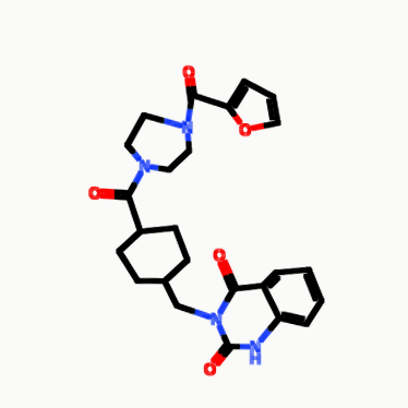 O=C(c1ccco1)N1CCN(C(=O)C2CCC(Cn3c(=O)[nH]c4ccccc4c3=O)CC2)CC1